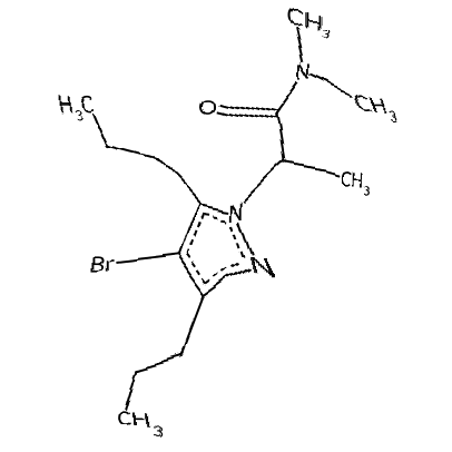 CCCc1nn(C(C)C(=O)N(C)C)c(CCC)c1Br